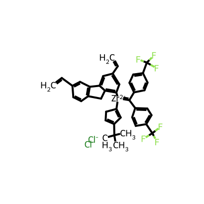 C=Cc1ccc2c(c1)-c1cc(C=C)c[c]([Zr+2]([C]3=CC(C(C)(C)C)=CC3)=[C](c3ccc(C(F)(F)F)cc3)c3ccc(C(F)(F)F)cc3)c1C2.[Cl-].[Cl-]